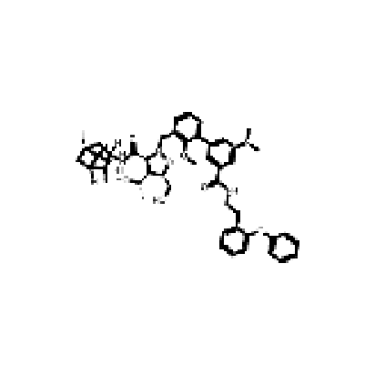 COc1c(CN2O[C@@H](CO)[C@@H]([C@H](C)O)[C@H]2C(=O)N[C@H]2C[C@H]3C[C@@H]([C@@H]2C)C3(C)C)cccc1-c1cc(C(=O)NCCc2ccccc2Oc2ccccc2)cc(N(C)C)c1